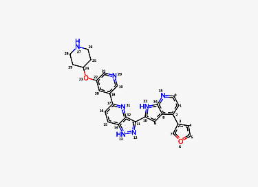 c1cc(-c2ccoc2)c2cc(-c3n[nH]c4ccc(-c5cncc(OC6CCNCC6)c5)nc34)[nH]c2n1